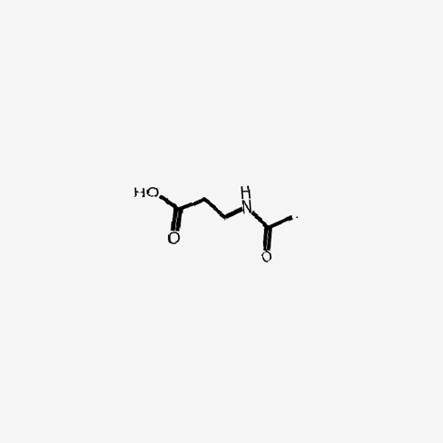 [CH2]C(=O)NCCC(=O)O